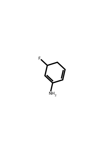 NC1=CC(F)CC=C1